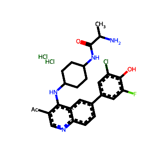 CC(=O)c1cnc2ccc(-c3cc(F)c(O)c(Cl)c3)cc2c1NC1CCC(NC(=O)C(C)N)CC1.Cl.Cl